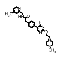 Cc1ccnc(CNC(=O)Cc2ccc(-c3cnc(OCCN4CCN(C)CC4)nc3F)cc2)c1